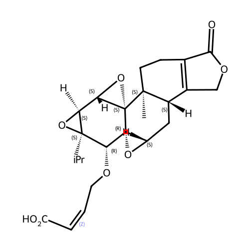 CC(C)[C@]12O[C@H]1[C@@H]1O[C@]13[C@]1(O[C@H]1C[C@H]1C4=C(CC[C@@]13C)C(=O)OC4)[C@@H]2OC/C=C\C(=O)O